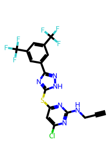 C#CCNc1nc(Cl)cc(Sc2nc(-c3cc(C(F)(F)F)cc(C(F)(F)F)c3)n[nH]2)n1